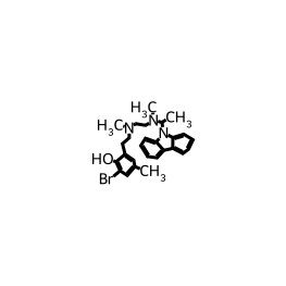 Cc1cc(Br)c(O)c(CCN(C)CCN(C)C(C)n2c3ccccc3c3ccccc32)c1